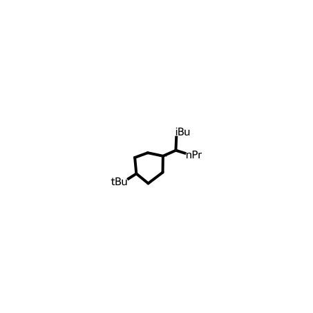 [CH2]CCC([C]1CCC(C(C)(C)C)CC1)C(C)CC